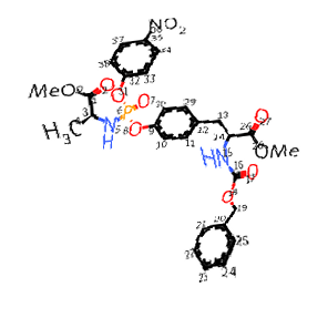 COC(=O)[C@H](C)NP(=O)(Oc1ccc(C[C@H](NC(=O)OCc2ccccc2)C(=O)OC)cc1)Oc1ccc([N+](=O)[O-])cc1